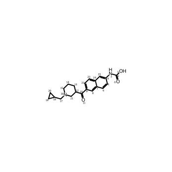 O=C(O)Nc1ccc2cc(C(=O)C3CCCN(CC4CC4)C3)ccc2c1